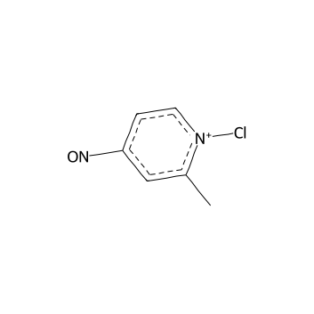 Cc1cc(N=O)cc[n+]1Cl